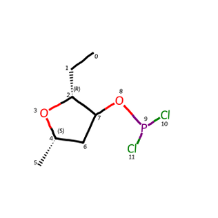 CC[C@H]1O[C@@H](C)CC1OP(Cl)Cl